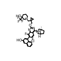 C[C@@]12CC[C@H](CN(c3nc(OCC4(CN5CCCC(O)(C(F)(F)F)C5)CC4)nc4c(F)c(-c5cc(O)cc6cccc(Cl)c56)c(F)cc34)C1)N2